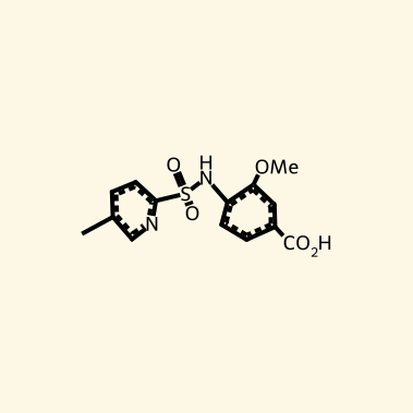 COc1cc(C(=O)O)ccc1NS(=O)(=O)c1ccc(C)cn1